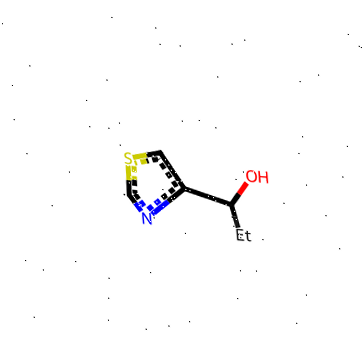 CCC(O)c1cs[c]n1